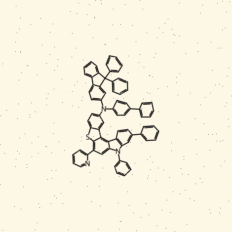 c1ccc(-c2ccc(N(c3ccc4c(c3)C(c3ccccc3)(c3ccccc3)c3ccccc3-4)c3ccc4sc5c(-c6ccccn6)cc6c(c7ccc(-c8ccccc8)cc7n6-c6ccccc6)c5c4c3)cc2)cc1